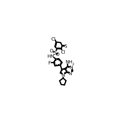 Nc1ncnc2c1c(-c1ccc(NS(=O)(=O)C3=C(Cl)C(=S)CC(Cl)=C3)c(F)c1)cn2C1CCCC1